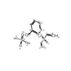 C=CS(=O)(=O)C=C.Clc1ccnnn1.O=S(=O)(O)O